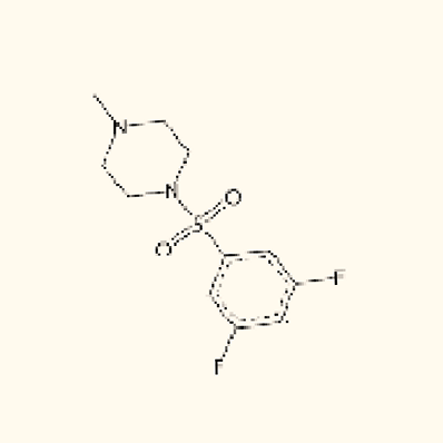 CN1CCN(S(=O)(=O)c2cc(F)[c]c(F)c2)CC1